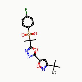 CCC(C)(C)c1cc(-c2nnc(C(C)(C)S(=O)(=O)c3ccc(F)cc3)o2)on1